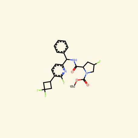 CC(C)(C)OC(=O)N1CC(F)CC1C(=O)NC(c1ccccc1)c1ccc(C2CC(F)(F)C2)c(F)n1